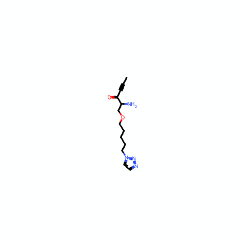 CC#CC(=O)C(N)COCCCCCn1ccnn1